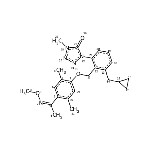 CO/N=C(/C)c1cc(C)c(OCc2c(CC3CC3)cccc2-n2nnn(C)c2=O)cc1C